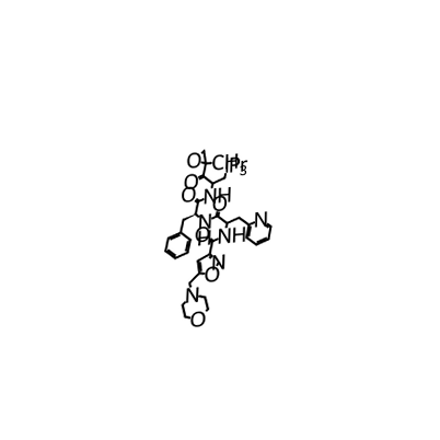 CC(C)CC(NC(=O)[C@H](Cc1ccccc1)NC(=O)C(Cc1ccccn1)NC(=O)c1cc(CN2CCOCC2)on1)C(=O)C1(C)CO1